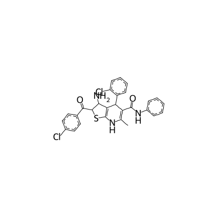 CC1=C(C(=O)Nc2ccccc2)C(c2ccccc2Cl)C2=C(N1)SC(C(=O)c1ccc(Cl)cc1)C2N